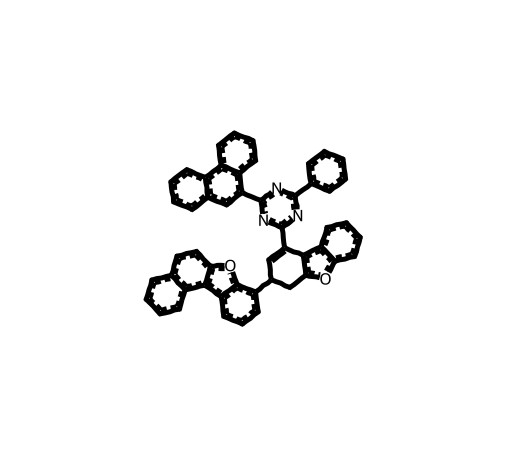 C1=C(c2nc(-c3ccccc3)nc(-c3cc4ccccc4c4ccccc34)n2)c2c(oc3ccccc23)CC1c1cccc2c1oc1ccc3ccccc3c12